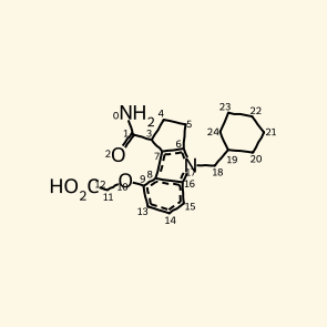 NC(=O)C1CCc2c1c1c(OCC(=O)O)cccc1n2CC1CCCCC1